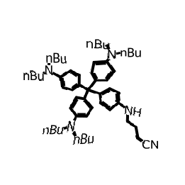 CCCCN(CCCC)c1ccc(C(c2ccc(NCCCC#N)cc2)(c2ccc(N(CCCC)CCCC)cc2)c2ccc(N(CCCC)CCCC)cc2)cc1